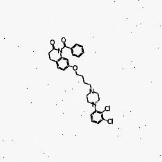 O=C1CCc2ccc(OCCCCN3CCN(c4cccc(Cl)c4Cl)CC3)cc2N1C(=O)c1ccccc1